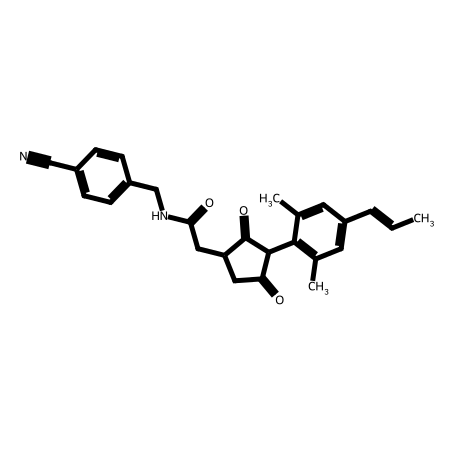 C/C=C/c1cc(C)c(C2C(=O)CC(CC(=O)NCc3ccc(C#N)cc3)C2=O)c(C)c1